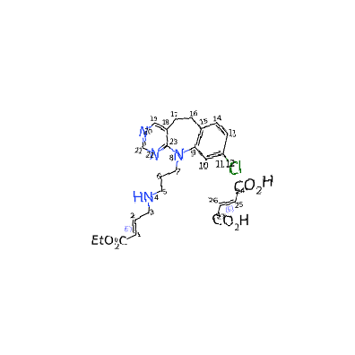 CCOC(=O)/C=C/CNCCCN1c2cc(Cl)ccc2CCc2cncnc21.O=C(O)/C=C/C(=O)O